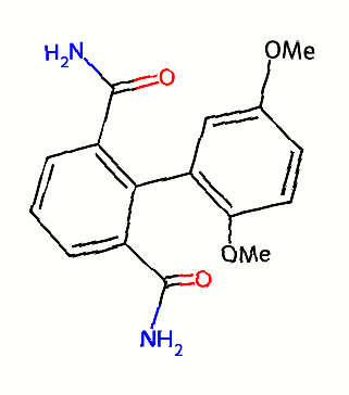 COc1ccc(OC)c(-c2c(C(N)=O)cccc2C(N)=O)c1